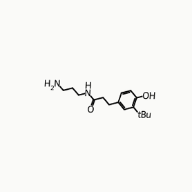 CC(C)(C)c1cc(CCC(=O)NCCCN)ccc1O